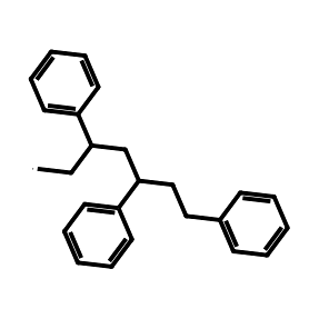 [CH2]CC(CC(CCc1ccccc1)c1ccccc1)c1ccccc1